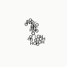 CC(C)[C@H](NC(=O)CN1C(=O)C=CC1=O)C(=O)N[C@@H](C)C(=O)Nc1ccc(COC(=O)C(C)(C)C)c(CC[C@@H]2O[C@H](C(=O)O)[C@@H](O)[C@H](O)[C@H]2O)c1